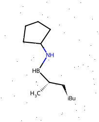 CC[C@H](C)C[C@H](C)BNC1CCCC1